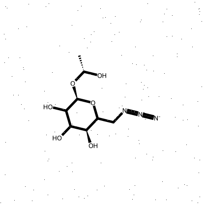 C[C@H](O)O[C@H]1OC(CN=[N+]=[N-])[C@@H](O)C(O)C1O